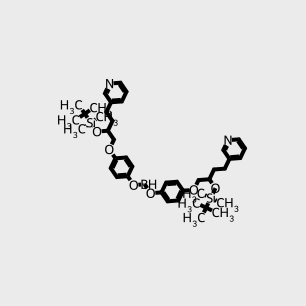 CC(C)(C)[Si](C)(C)OC(CCc1cccnc1)COc1ccc(OBOc2ccc(OCC(CCc3cccnc3)O[Si](C)(C)C(C)(C)C)cc2)cc1